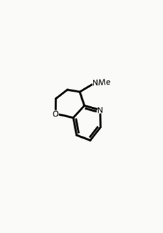 CNC1CCOc2cccnc21